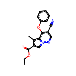 CCOC(=O)c1cn2ncc(C#N)c(Oc3ccccc3)c2c1C